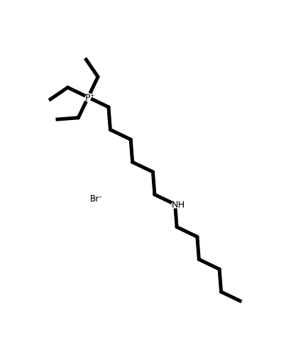 CCCCCCNCCCCCC[P+](CC)(CC)CC.[Br-]